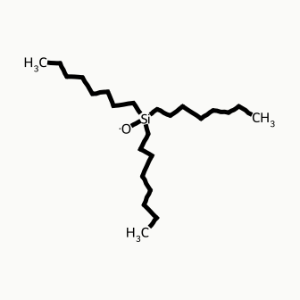 CCCCCCCC[Si]([O])(CCCCCCCC)CCCCCCCC